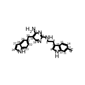 Nc1nc(NCCc2c[nH]c3cc(F)ccc23)ncc1Cc1ccc2[nH]ccc2c1